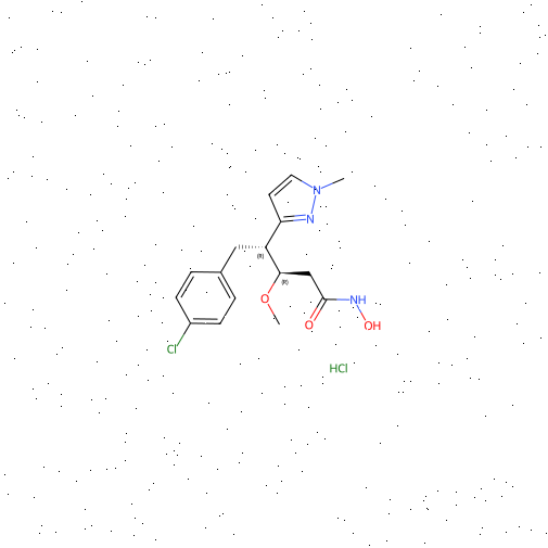 CO[C@H](CC(=O)NO)[C@H](Cc1ccc(Cl)cc1)c1ccn(C)n1.Cl